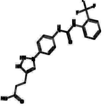 O=C(O)CCC1=CN(c2ccc(NC(=O)Nc3ccccc3C(F)(F)F)cc2)NN1